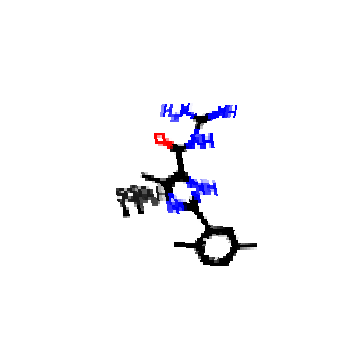 CS(=O)(=O)O.CS(=O)(=O)O.Cc1ccc(C)c(-c2nc(C)c(C(=O)NC(=N)N)[nH]2)c1